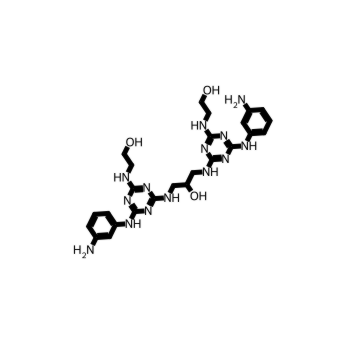 Nc1cccc(Nc2nc(NCCO)nc(NCC(O)CNc3nc(NCCO)nc(Nc4cccc(N)c4)n3)n2)c1